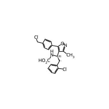 Cc1noc(-c2ccc(CCl)cc2)c1[C@@H]([CH]c1ccccc1Cl)NC(=O)O